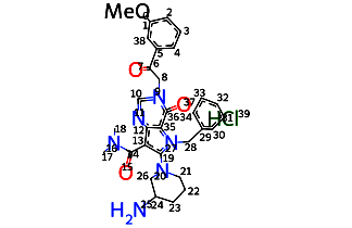 COc1cccc(C(=O)Cn2cnc3c(C(=O)N(C)C)c(N4CCCC(N)C4)n(Cc4ccccc4)c3c2=O)c1.Cl